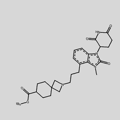 Cn1c(=O)n(C2CCC(=O)NC2=O)c2cccc(CCCN3CC4(CCC(C(=O)OC(C)(C)C)CC4)C3)c21